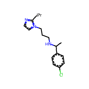 CC(C)c1nccn1CCCNC(C)c1ccc(Cl)cc1